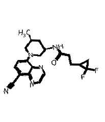 C[C@H]1C[C@@H](NC(=O)CCC2CC2(F)F)CN(c2ccc(C#N)c3nccnc23)C1